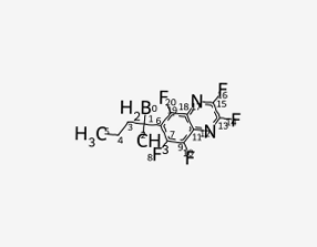 BC(C)(CCC)c1c(F)c(F)c2nc(F)c(F)nc2c1F